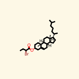 CCC(Br)C(=O)O[C@H]1CC[C@@]2(C)C(=CC[C@H]3[C@@H]4CC[C@H](C(C)CCCC(C)C)[C@@]4(C)CC[C@@H]32)C1